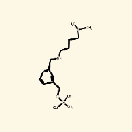 CN(C)CCCCNCc1cc(CO[Si](C)(C)C(C)(C)C)ccn1